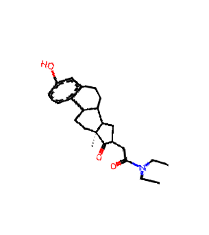 CCN(CC)C(=O)CC1CC2C3CCc4cc(O)ccc4C3CC[C@]2(C)C1=O